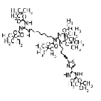 CC(C)(C)OC(=O)/N=C(\N(CCCC#Cc1nc(C(=N)NC(=O)OC(C)(C)C)cs1)C(=O)OC(C)(C)C)N(CCCCCCCN/C(=N\C(=O)OC(C)(C)C)NC(=O)OC(C)(C)C)C(=O)OC(C)(C)C